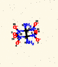 NC([N+](=O)[O-])([N+](=O)[O-])C(N)([N+](=O)[O-])[N+](=O)[O-]